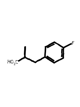 C[C](Cc1ccc(F)cc1)C(=O)O